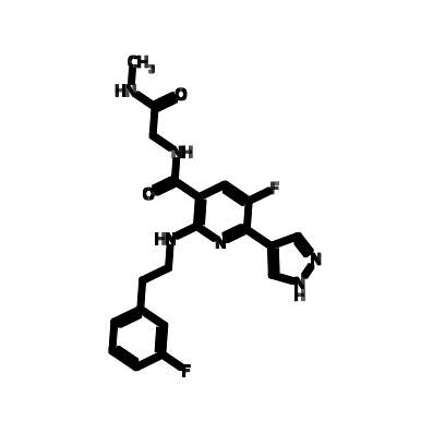 CNC(=O)CNC(=O)c1cc(F)c(-c2cn[nH]c2)nc1NCCc1cccc(F)c1